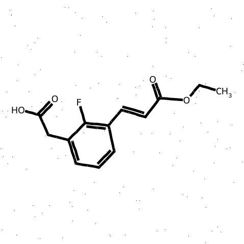 CCOC(=O)C=Cc1cccc(CC(=O)O)c1F